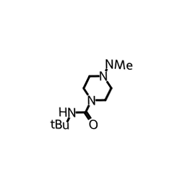 CNN1CCN(C(=O)NC(C)(C)C)CC1